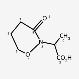 CC(C(=O)O)N1OCCCC1=O